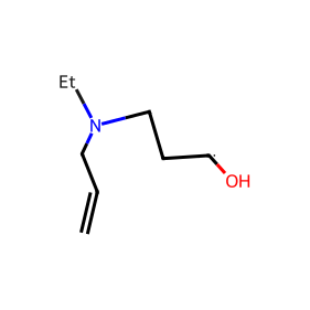 C=CCN(CC)CC[CH]O